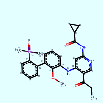 CCC(=O)c1cnc(NC(=O)C2CC2)cc1Nc1cccc(-c2ccccc2P(C)(C)=O)c1OC